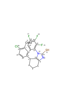 COc1cc(C2CCCc3nc(S)n(-c4ccc(F)c(F)c4F)c32)ccc1Cl